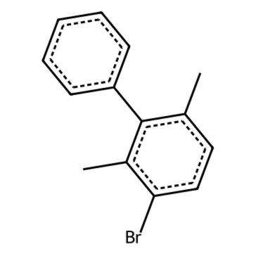 Cc1ccc(Br)c(C)c1-c1ccccc1